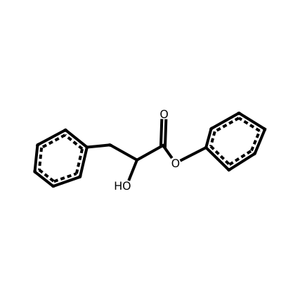 O=C(Oc1ccccc1)C(O)Cc1ccccc1